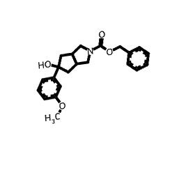 COc1cccc(C2(O)CC3CN(C(=O)OCc4ccccc4)CC3C2)c1